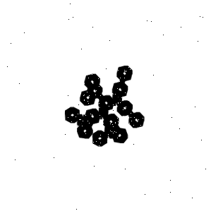 c1ccc(-c2ccc(N(c3ccc(-c4ccccc4)cc3)c3cc(-c4cc5ccccc5c5ccccc45)cc(N(c4ccc5c(c4)c4ccccc4n5-c4ccccc4)c4ccc5c6ccccc6n(-c6ccccc6)c5c4)c3)cc2)cc1